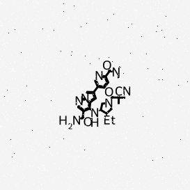 CC[C@H]1CN(C(=O)C(C)(C)C#N)C[C@H]1Nc1c(C(N)=O)cnn2cc(-c3ccc(C(=O)N(C)C)nc3)cc12